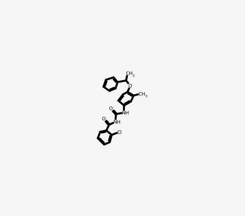 Cc1cc(NC(=O)NC(=O)c2ccccc2Cl)ccc1OC(C)c1ccccc1